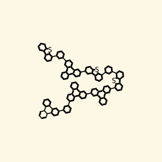 C1=CC2c3ccccc3-c3cc(-c4cccc(-c5ccc6c7ccccc7c7cc(-c8ccc9c%10ccc(-c%11cccc%12c%11sc%11c(-c%13cccc(-c%14cccc%15c%14sc%14ccc(-c%16ccc%17c%18ccccc%18c%18cc(-c%19cccc(-c%20cccc%21c%20sc%20ccccc%20%21)c%19)ccc%18c%17c%16)cc%14%15)c%13)cccc%11%12)cc%10c%10ccccc%10c9c8)ccc7c6c5)c4)ccc3C2C=C1